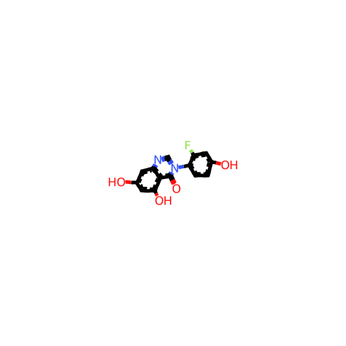 O=c1c2c(O)cc(O)cc2ncn1-c1ccc(O)cc1F